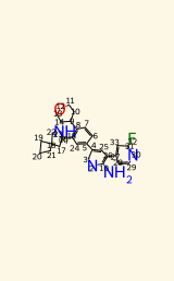 Nc1ncc(-c2ccc(C3CCOCC3)c([C@H]3CC4(CCC4)CN3)c2)cc1-c1ccnc(F)c1